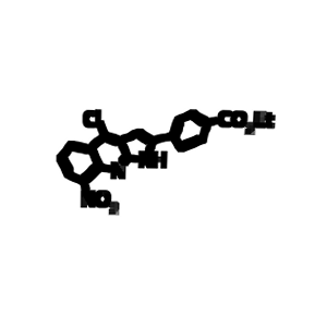 CCOC(=O)c1ccc(-c2cc3c(Cl)c4cccc([N+](=O)[O-])c4nc3[nH]2)cc1